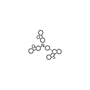 c1ccc2c(c1)cc(-c1ccc(N(c3ccc4c(c3)oc3ccccc34)c3ccc4c(c3)oc3ccccc34)cc1)c1c3ccccc3sc21